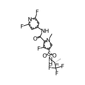 C[C@@H](NS(=O)(=O)c1cn(C)c(C(=O)Nc2cc(F)nc(F)c2)c1F)C(F)(F)F